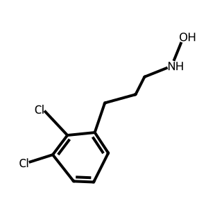 ONCCCc1cccc(Cl)c1Cl